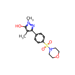 Cc1c(-c2ccc(S(=O)(=O)N3CCOCC3)cc2)nn(C)c1O